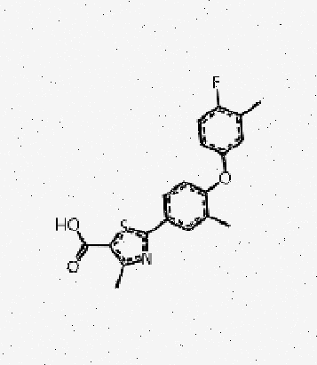 Cc1cc(Oc2ccc(-c3nc(C)c(C(=O)O)s3)cc2C)ccc1F